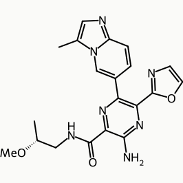 CO[C@H](C)CNC(=O)c1nc(-c2ccc3ncc(C)n3c2)c(-c2ncco2)nc1N